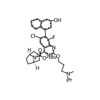 CC(C)N(C)CCCOc1nc(N2C[C@H]3CC[C@@H](C2)N3C(=O)OC(C)(C)C)c2cc(Cl)c(-c3cc(O)cc4ccccc34)c(F)c2n1